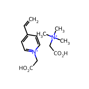 C=Cc1cc[n+](CC(=O)O)cc1.C[N+](C)(C)CC(=O)O